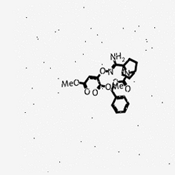 COC(=O)C=C(ON=C(N)C12CCC(CC1)N2C(=O)OCc1ccccc1)C(=O)OC